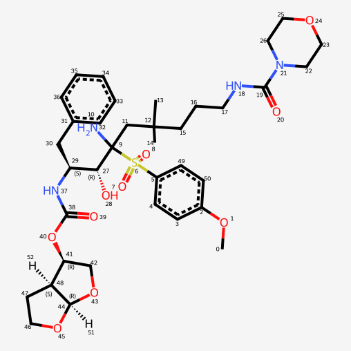 COc1ccc(S(=O)(=O)C(N)(CC(C)(C)CCCNC(=O)N2CCOCC2)[C@H](O)[C@H](Cc2ccccc2)NC(=O)O[C@H]2CO[C@H]3OCC[C@H]32)cc1